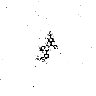 CC(C)(O)c1cccc(C(=O)N2[C@@H](C(=O)N[C@@H](c3cc(F)c(C(F)(F)F)cc3F)C3COC3)C[C@H]3C[C@H]32)c1